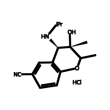 CC(C)N[C@H]1c2cc(C#N)ccc2OC(C)[C@]1(C)O.Cl